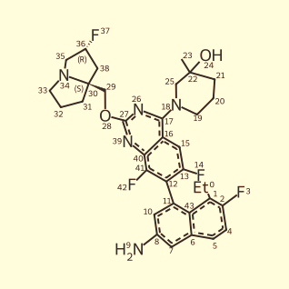 CCc1c(F)ccc2cc(N)cc(-c3c(F)cc4c(N5CCCC(C)(O)C5)nc(OC[C@@]56CCCN5C[C@H](F)C6)nc4c3F)c12